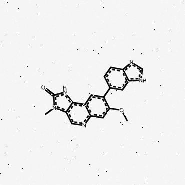 COc1cc2ncc3c([nH]c(=O)n3C)c2cc1-c1ccc2nc[nH]c2c1